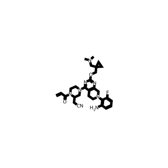 C=CC(=O)N1CCN(c2nc(OCC3(CN(C)C)CC3)nc3c2CCN(c2c(N)cccc2F)C3)CC1CC#N